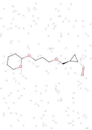 O=C[C@H]1C[C@@H]1COCCCOC1CCCCO1